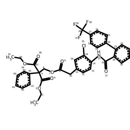 CCOC(=O)C(COC(=O)Cc1ccc(NC(=O)c2ccccc2-c2ccc(C(F)(F)F)cc2)c(Cl)c1)(C(=O)OCC)c1ccccc1